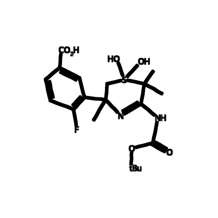 CC(C)(C)OC(=O)NC1=NC(C)(c2cc(C(=O)O)ccc2F)CS(O)(O)C1(C)C